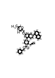 C[C@H]1CO[C@@H](COc2nc3c(c(N4CCN(C(=O)OCc5ccccc5)[C@@H](CC#N)C4)n2)CCN(c2cccc4ccccc24)C3)CN1